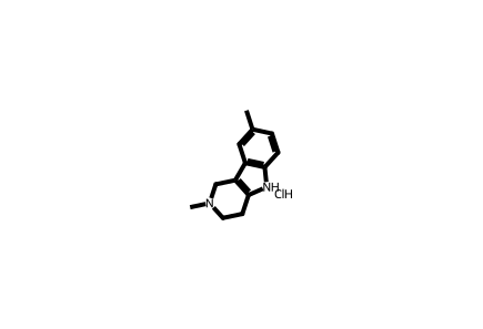 Cc1ccc2[nH]c3c(c2c1)CN(C)CC3.Cl